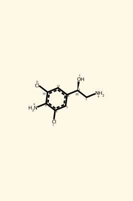 NC[C@H](O)c1cc(Cl)c(N)c(Cl)c1